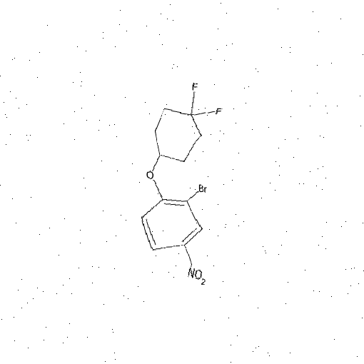 O=[N+]([O-])c1ccc(OC2CCC(F)(F)CC2)c(Br)c1